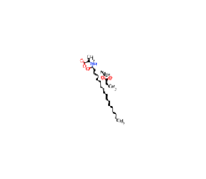 CCC(=O)[O-].CCCCCCCCCCCCCCCCCC(=O)NC(C)C(=O)[O-].[Na+].[Na+]